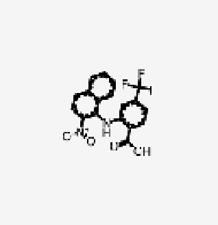 O=C(O)c1ccc(C(F)(F)F)cc1Nc1c([N+](=O)[O-])ccc2ccccc12